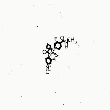 [C-]#[N+]c1ccc(N2C(=O)C3(CCC3)N(c3ccc(C(=O)NC)c(F)c3)C2=S)c(I)c1